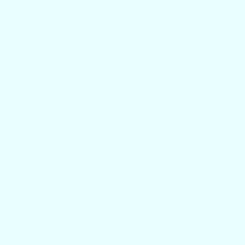 O=C(O)CCCCCCCC[C@H](O)CCCCCCO